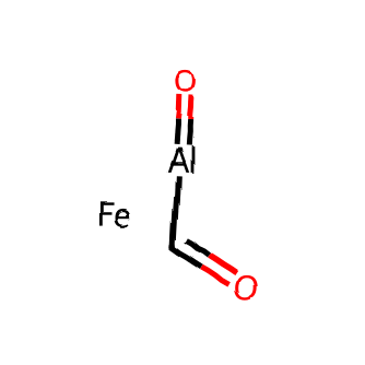 O=[CH][Al]=[O].[Fe]